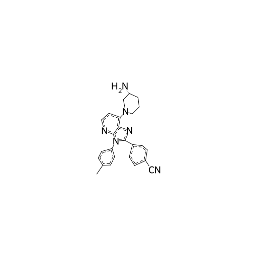 Cc1ccc(-n2c(-c3ccc(C#N)cc3)nc3c(N4CCC[C@@H](N)C4)ccnc32)cc1